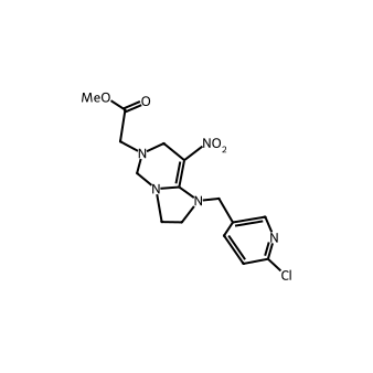 COC(=O)CN1CC([N+](=O)[O-])=C2N(Cc3ccc(Cl)nc3)CCN2C1